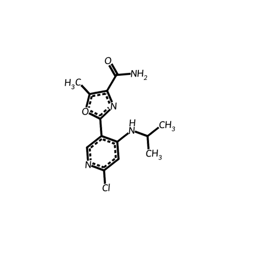 Cc1oc(-c2cnc(Cl)cc2NC(C)C)nc1C(N)=O